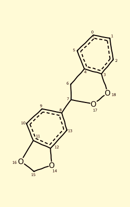 [c]1ccc2c(c1)CC(c1ccc3c(c1)OCO3)OO2